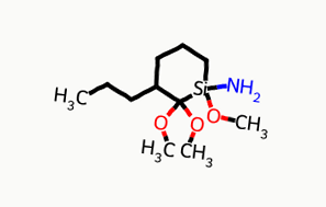 CCCC1CCC[Si](N)(OC)C1(OC)OC